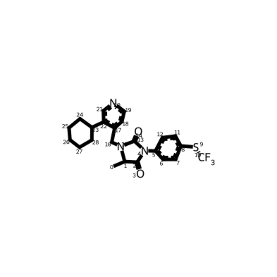 CC1C(=O)N(c2ccc(SC(F)(F)F)cc2)C(=O)N1Cc1ccncc1C1CCCCC1